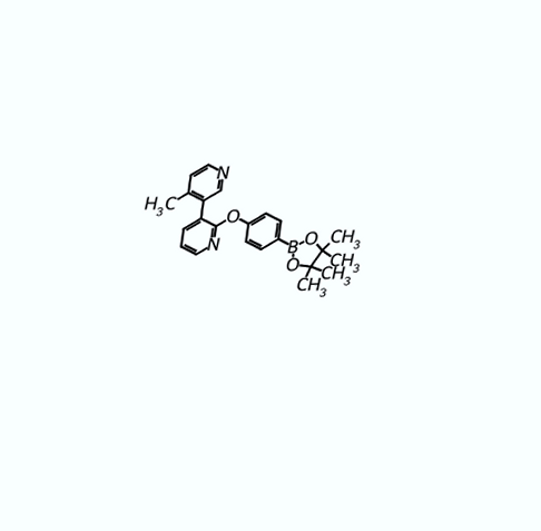 Cc1ccncc1-c1cccnc1Oc1ccc(B2OC(C)(C)C(C)(C)O2)cc1